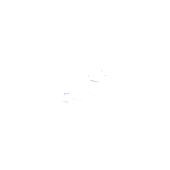 Cc1cn(Cc2ccc([N+](=O)[O-])c(C)c2)cn1